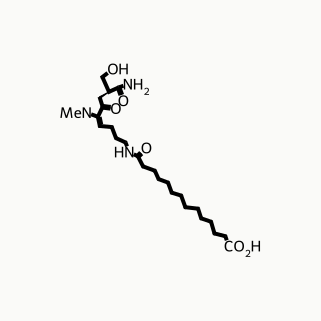 CN/C(=C/CCCNC(=O)CCCCCCCCCCCCC(=O)O)C(=O)C[C@@H](CO)C(N)=O